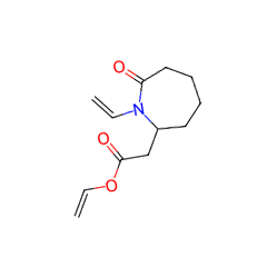 C=COC(=O)CC1CCCCC(=O)N1C=C